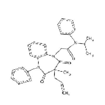 C=CCC1(C)C(=O)N(CC(=O)N(c2ccccc2)C(C)C)c2ccccc2N(c2ccccc2)C1=O